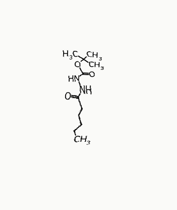 CCCCCC(=O)NNC(=O)OC(C)(C)C